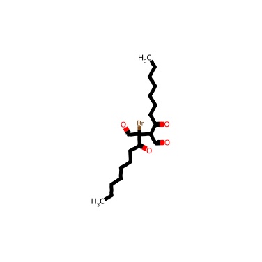 CCCCCCCC(=O)C([C]=O)C(Br)([C]=O)C(=O)CCCCCCC